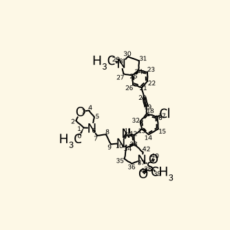 C[C@H]1COCCN1CCCn1nc(-c2ccc(Cl)c(C#Cc3ccc4c(c3)CN(C)CC4)c2)c2c1CCN(S(C)(=O)=O)C2